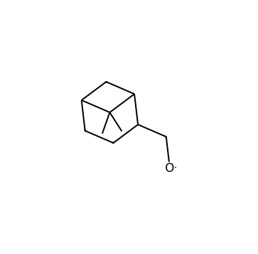 CC1(C)C2CCC(C[O])C1C2